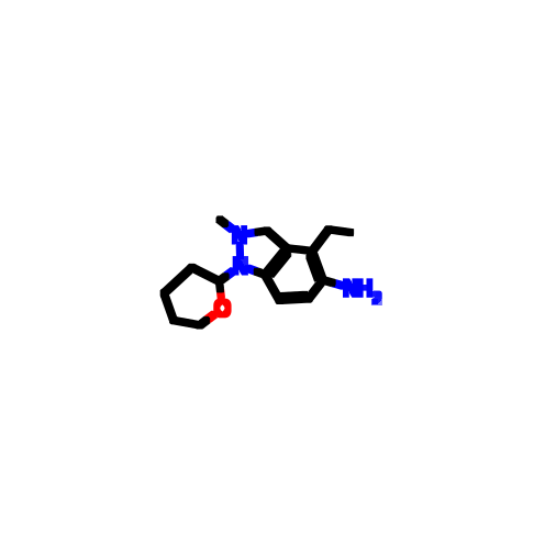 CCc1c(N)ccc2c1CN(C)N2C1CCCCO1